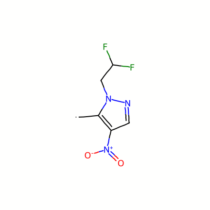 [CH2]c1c([N+](=O)[O-])cnn1CC(F)F